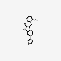 O=C1Nc2cc(-c3ccsc3)ccc2C1=Cc1ccccc1O